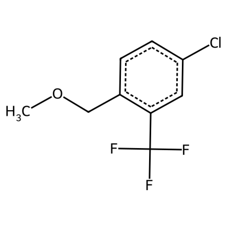 COCc1ccc(Cl)cc1C(F)(F)F